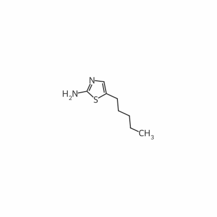 CCCCCc1cnc(N)s1